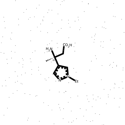 CCn1cc([C@@](C)(N)CC(=O)O)cn1